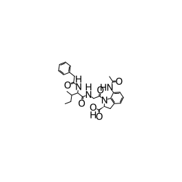 CCC(C)C(NC(=O)Cc1ccccc1)C(=O)NCC(=O)N1c2c(cccc2NC(C)=O)C[C@H]1C(=O)O